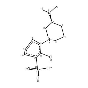 CN(C)[C@H]1CCCN(c2cccc(S(=O)(=O)Cl)c2Cl)C1